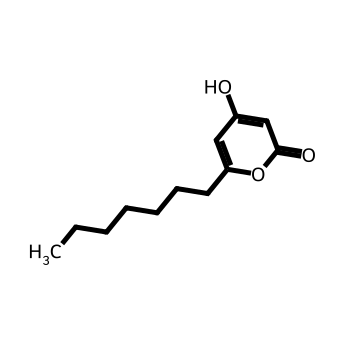 CCCCCCCc1cc(O)cc(=O)o1